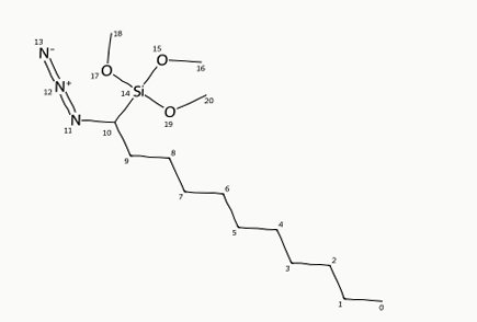 CCCCCCCCCCC(N=[N+]=[N-])[Si](OC)(OC)OC